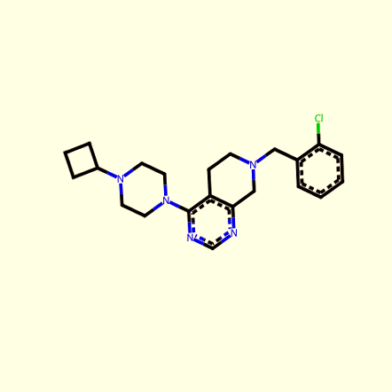 Clc1ccccc1CN1CCc2c(ncnc2N2CCN(C3CCC3)CC2)C1